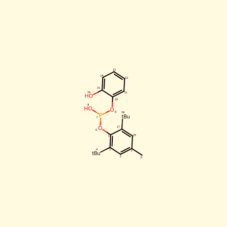 Cc1cc(C(C)(C)C)c(OP(O)Oc2ccccc2O)c(C(C)(C)C)c1